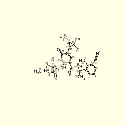 Cc1c(C#N)cccc1[C@@H](C)NC(=O)c1cn([C@H]2[C@H](C)C2(F)F)c(=O)cc1N[C@@H]1[C@@H]2CN(C)C[C@@H]21